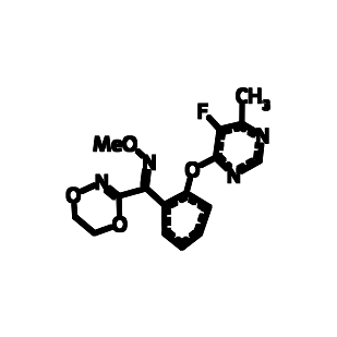 CO/N=C(\C1=NOCCO1)c1ccccc1Oc1ncnc(C)c1F